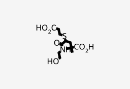 CC(C)(CC(SCCC(=O)O)C(=O)NCCO)C(=O)O